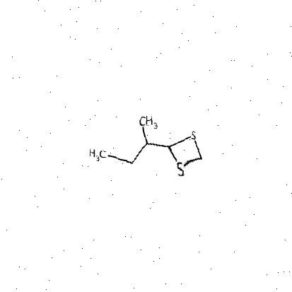 CCC(C)C1SCS1